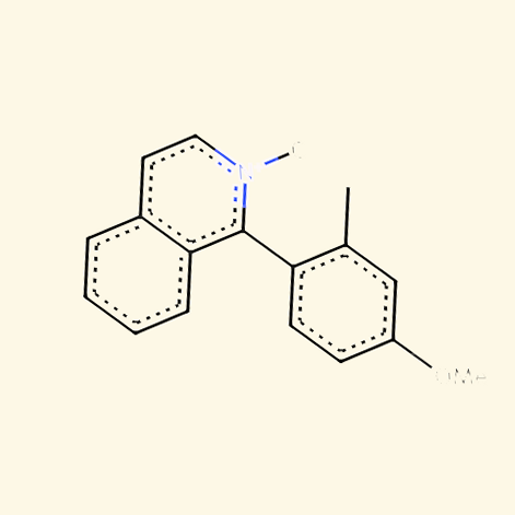 [CH2-][n+]1ccc2ccccc2c1-c1ccc(OC)cc1C